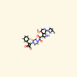 COc1cnc(-n2ccc(C)n2)c2[nH]cc(C(=O)C(=O)N3CCN(c4c(-c5ccccc5)c(=O)c4=O)CC3)c12